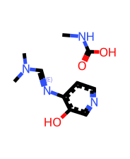 CN(C)/C=N/c1ccncc1O.CNC(=O)O